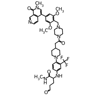 CNC(=O)C(CCC=O)Nc1ccc(N2CCC(CC(=O)N3CCN(Cc4c(OC)cc(-c5cn(C)c(=O)c6cnccc56)cc4OC)CC3)CC2)c(C(F)(F)F)c1